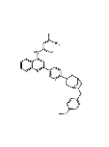 COc1ccc(CC2CC3CC2CN(c2ccc(-c4nc(NC(=N)/C=C(/C)N)c5ccccc5n4)cn2)C3)cc1